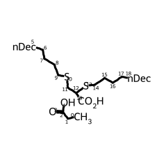 CCC(=O)O.CCCCCCCCCCCCCCSCC(SCCCCCCCCCCCCCC)C(=O)O